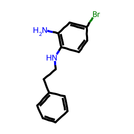 Nc1cc(Br)ccc1NCCc1ccccc1